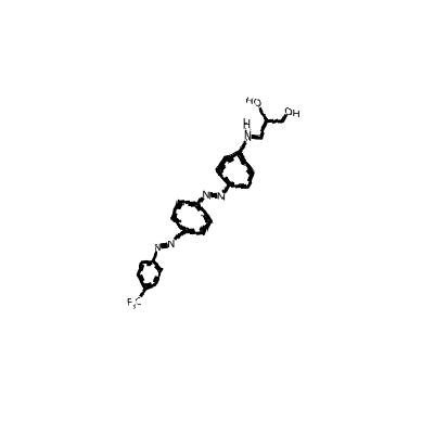 OCC(O)CNc1ccc(N=Nc2ccc(N=Nc3ccc(C(F)(F)F)cc3)cc2)cc1